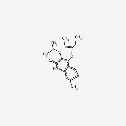 CC=C(CC)Oc1c(OC(C)C)c(=O)[nH]c2cc(N)ccc12